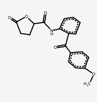 COc1ccc(C(=O)c2ccccc2NC(=O)C2CCC(=O)O2)cc1